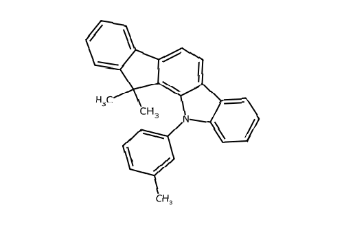 Cc1cccc(-n2c3ccccc3c3ccc4c(c32)C(C)(C)c2ccccc2-4)c1